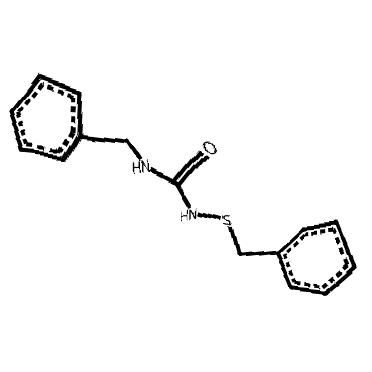 O=C(NCc1ccccc1)NSCc1ccccc1